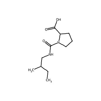 CCC(C)CNC(=O)N1CCCC1C(=O)O